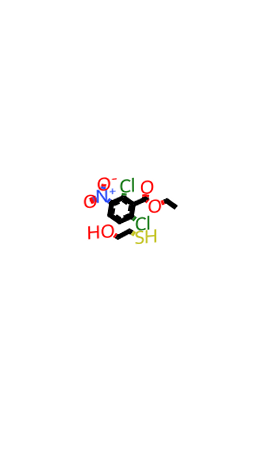 CCOC(=O)c1c(Cl)ccc([N+](=O)[O-])c1Cl.OCCS